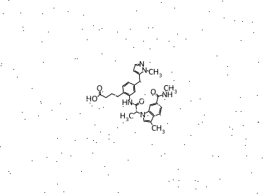 CNC(=O)c1ccc2c(C)cn(C(C)C(=O)Nc3cc(Cc4ccnn4C)ccc3CCCC(=O)O)c2c1